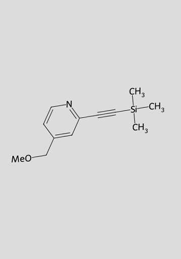 COCc1ccnc(C#C[Si](C)(C)C)c1